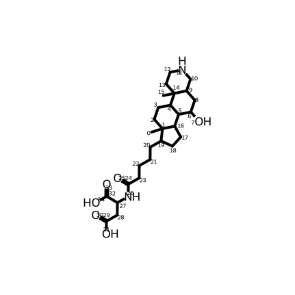 CC12CCC3C(C(O)CC4CNCCC43C)C1CCC2CCCCC(=O)NC(CC(=O)O)C(=O)O